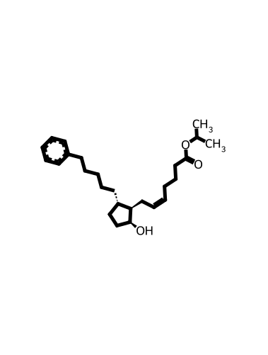 CC(C)OC(=O)CCC/C=C\C[C@@H]1[C@@H](CCCCCc2ccccc2)CC[C@@H]1O